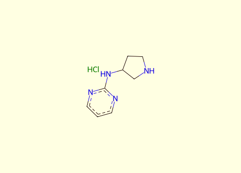 Cl.c1cnc(NC2CCNC2)nc1